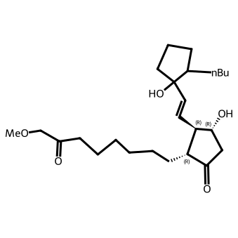 CCCCC1CCCC1(O)C=C[C@H]1[C@H](O)CC(=O)[C@@H]1CCCCCCC(=O)COC